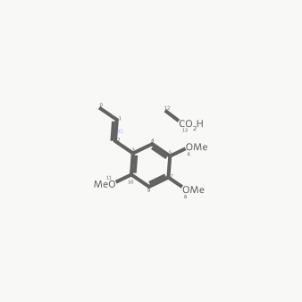 C/C=C/c1cc(OC)c(OC)cc1OC.CC(=O)O